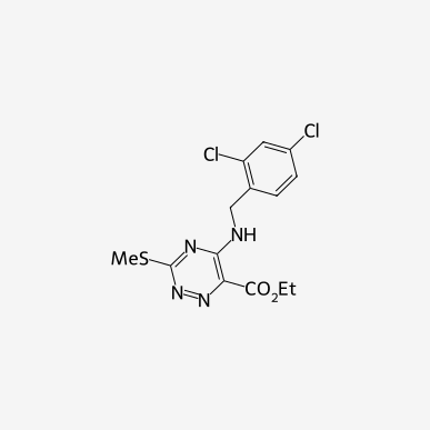 CCOC(=O)c1nnc(SC)nc1NCc1ccc(Cl)cc1Cl